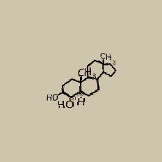 CC12CCCC1C1CC[C@H]3[C@H](O)C(O)CCC3(C)C1CC2